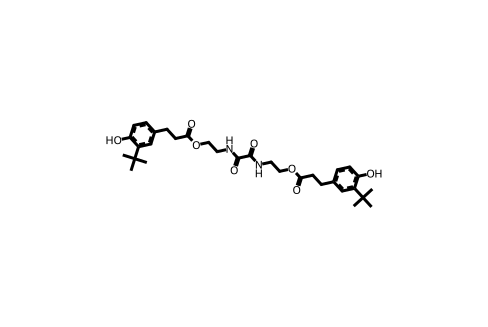 CC(C)(C)c1cc(CCC(=O)OCCNC(=O)C(=O)NCCOC(=O)CCc2ccc(O)c(C(C)(C)C)c2)ccc1O